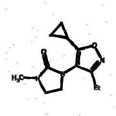 CCc1noc(C2CC2)c1N1CCN(C)C1=O